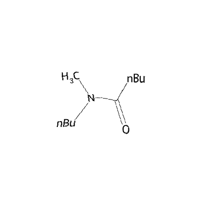 CCCCC(=O)N(C)CCCC